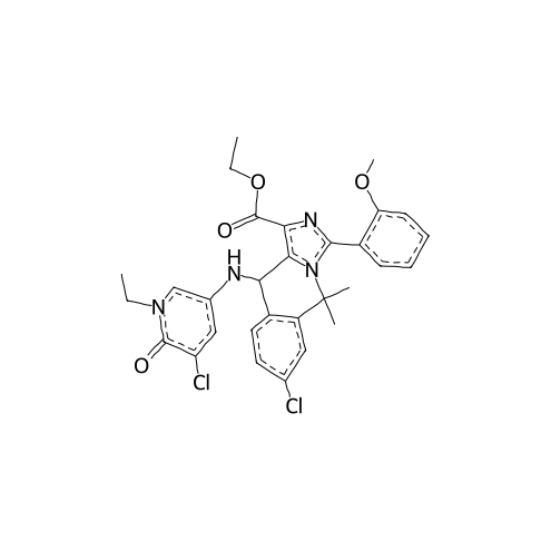 CCOC(=O)c1nc(-c2ccccc2OC)n2c1C(Nc1cc(Cl)c(=O)n(CC)c1)c1ccc(Cl)cc1C2(C)C